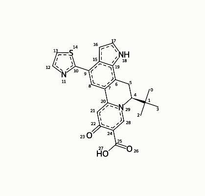 CC(C)(C)[C@@H]1Cc2c(cc(-c3nccs3)c3cc[nH]c23)-c2cc(=O)c(C(=O)O)cn21